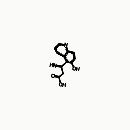 N=C(CC(=O)O)c1c(O)ccc2ncccc12